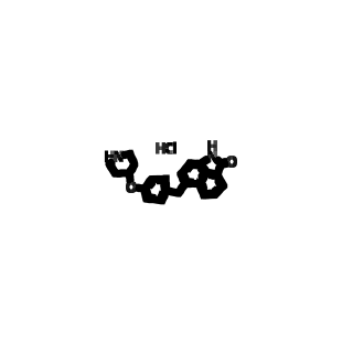 Cl.O=C1Nc2ccc(Cc3ccc(OC4CCNCC4)cc3)c3cccc1c23